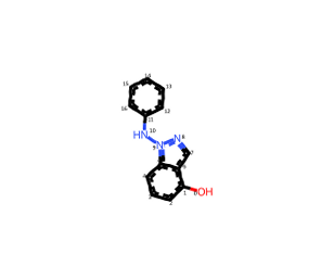 Oc1cccc2c1cnn2Nc1ccccc1